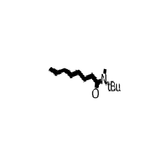 C=CCCCCCC(=O)N(C)C(C)(C)C